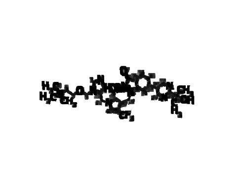 COc1ncn(COCC[Si](C)(C)C)c1Cn1cc(Cn2c3cc(-c4cnc(C(C)(C)O)nc4)ccc3c(=O)n2C)c(C(F)(F)F)c1